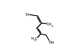 CCC=C(C)C=C(C)CO